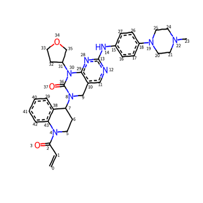 C=CC(=O)N1CCC(N2Cc3cnc(Nc4ccc(N5CCN(C)CC5)cc4)nc3N(C3CCOC3)C2=O)c2ccccc21